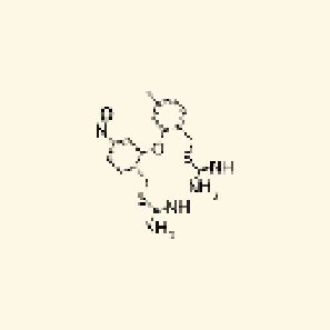 Cc1ccc(CSC(=N)N)c(Oc2cc(N=O)ccc2CSC(=N)N)c1